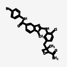 Cn1c(Nc2cc(CC3(C)COC3C(N)=O)ccc2Cl)nc2cc(C(=O)Nc3ccc(Br)cc3)ccc21